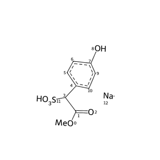 COC(=O)C(c1ccc(O)cc1)S(=O)(=O)O.[Na]